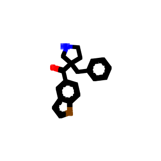 O=C(c1ccc2sccc2c1)C1(Cc2ccccc2)CCNC1